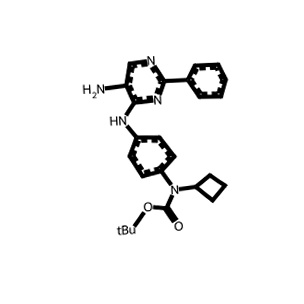 CC(C)(C)OC(=O)N(c1ccc(Nc2nc(-c3ccccc3)ncc2N)cc1)C1CCC1